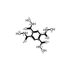 O=C(NO)c1cc(C(=O)NO)c(C(=O)NO)cc1C(=O)NO